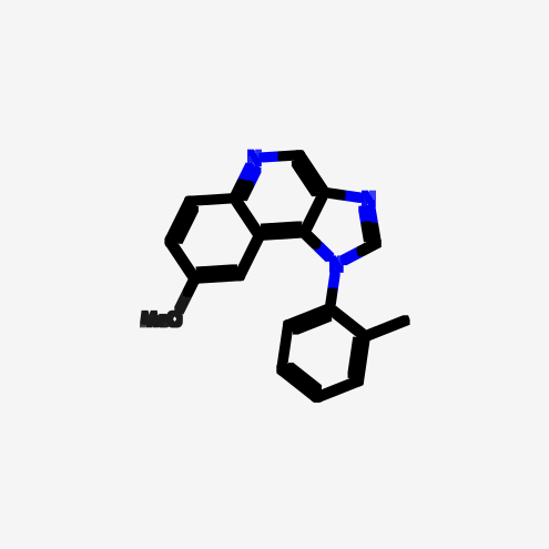 COc1ccc2ncc3ncn(-c4ccccc4C)c3c2c1